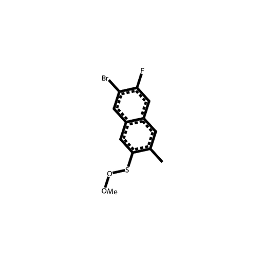 COOSc1cc2cc(Br)c(F)cc2cc1C